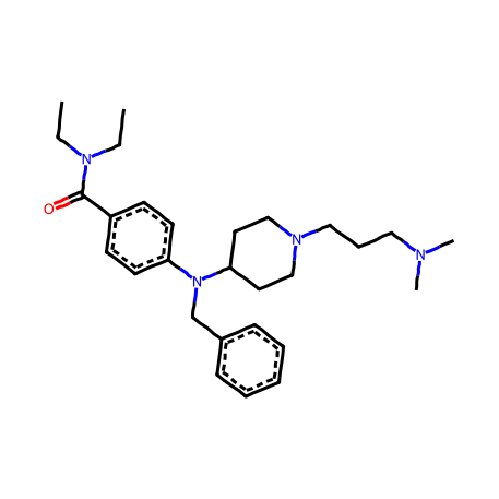 CCN(CC)C(=O)c1ccc(N(Cc2ccccc2)C2CCN(CCCN(C)C)CC2)cc1